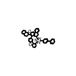 C1=CC(c2nc(-c3ccc(-c4ccccc4)cc3)nc(-c3cccc4oc5ccc(-c6cccc7oc8c9ccccc9ccc8c67)cc5c34)n2)Cc2ccccc21